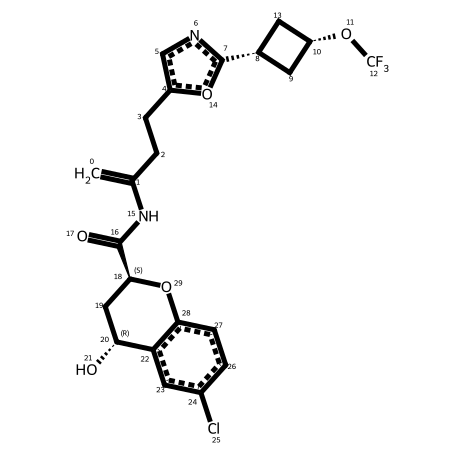 C=C(CCc1cnc([C@H]2C[C@@H](OC(F)(F)F)C2)o1)NC(=O)[C@@H]1C[C@@H](O)c2cc(Cl)ccc2O1